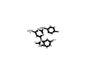 Cc1ccc(Nc2nc(N)cc(-n3c(C)nc4ccc(F)cc43)n2)cc1